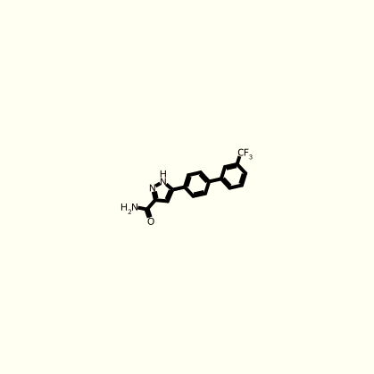 NC(=O)c1cc(-c2ccc(-c3cccc(C(F)(F)F)c3)cc2)[nH]n1